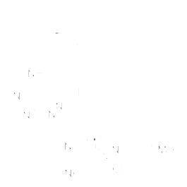 COCCNC(C)(C)/C=C(/C#N)C(=O)N1CCC[C@H](n2nc(-c3ccc(Oc4ccccc4)cc3F)c3c(N)ncnc32)C1